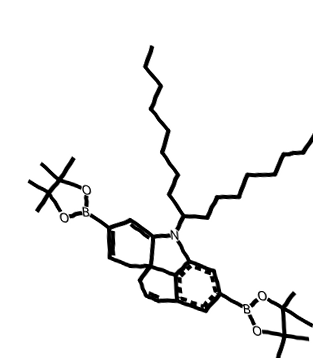 CCCCCCCCC(CCCCCCCC)N1C2=CC(B3OC(C)(C)C(C)(C)O3)=CCC23CC=Cc2cc(B4OC(C)(C)C(C)(C)O4)cc1c23